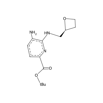 CC(C)(C)OC(=O)c1ccc(N)c(NC[C@@H]2CCO2)n1